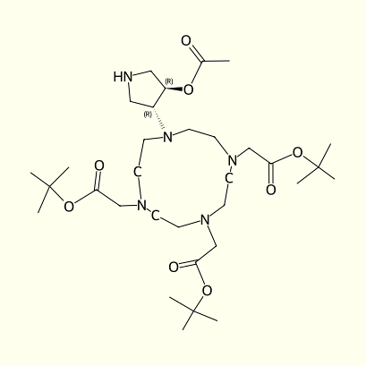 CC(=O)O[C@@H]1CNC[C@H]1N1CCN(CC(=O)OC(C)(C)C)CCN(CC(=O)OC(C)(C)C)CCN(CC(=O)OC(C)(C)C)CC1